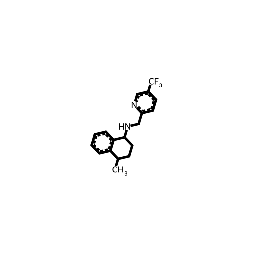 CC1CCC(NCc2ccc(C(F)(F)F)cn2)c2ccccc21